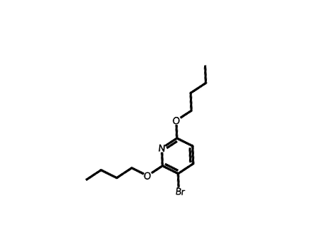 CCCCOc1ccc(Br)c(OCCCC)n1